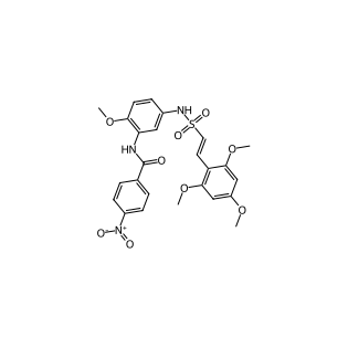 COc1cc(OC)c(C=CS(=O)(=O)Nc2ccc(OC)c(NC(=O)c3ccc([N+](=O)[O-])cc3)c2)c(OC)c1